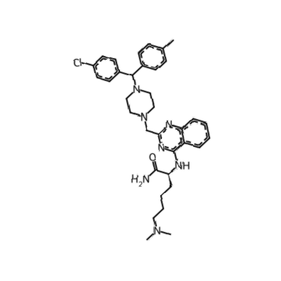 Cc1ccc(C(c2ccc(Cl)cc2)N2CCN(Cc3nc(N[C@@H](CCCCN(C)C)C(N)=O)c4ccccc4n3)CC2)cc1